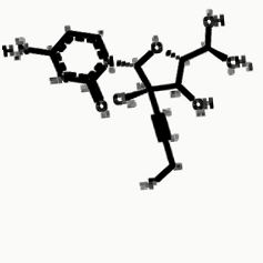 C[C@H](O)[C@H]1O[C@@H](n2ccc(N)nc2=O)[C@@](Cl)(C#CCF)C1O